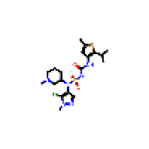 Cc1cc(NC(=O)NS(=O)(=O)N(c2cnn(C)c2F)C2CCCN(C)C2)c(C(C)C)s1